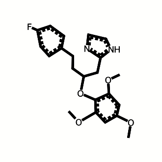 COc1cc(OC)c(OC(CCc2ccc(F)cc2)Cc2ncc[nH]2)c(OC)c1